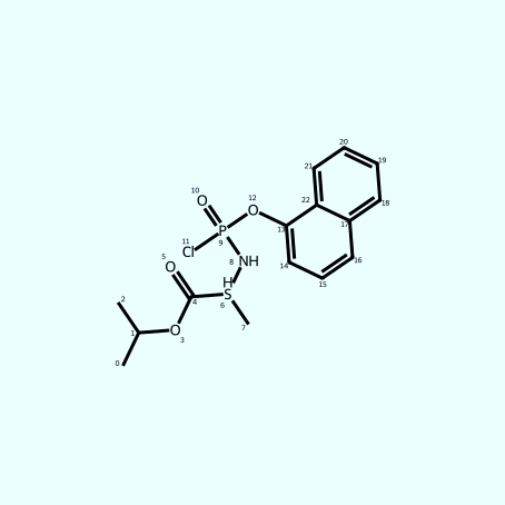 CC(C)OC(=O)[SH](C)NP(=O)(Cl)Oc1cccc2ccccc12